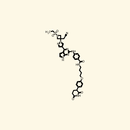 CCS(=O)(=O)N1CC(CC#N)(n2cc(-c3nc(Nc4ccc(C(=O)NCCCCOc5ccc(C6CCC(=O)NC6=O)cc5)cc4)nc4[nH]ccc34)cn2)C1